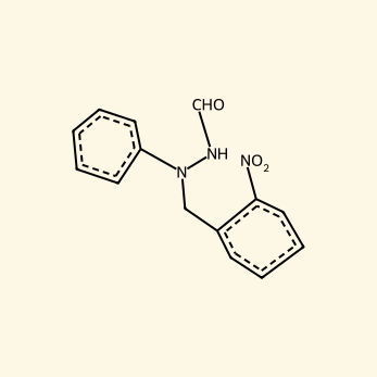 O=CNN(Cc1ccccc1[N+](=O)[O-])c1ccccc1